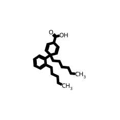 CCCCCCC1(c2ccccc2CCCCC)C=CC(C(=O)O)C=C1